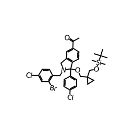 CC(=O)c1ccc2c(c1)CN(Cc1ccc(Cl)cc1Br)C2(OCC1(CO[Si](C)(C)C(C)(C)C)CC1)c1ccc(Cl)cc1